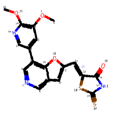 COc1cc(-c2cncc3cc(/C=C4\SC(=S)NC4=O)oc23)cnc1OC